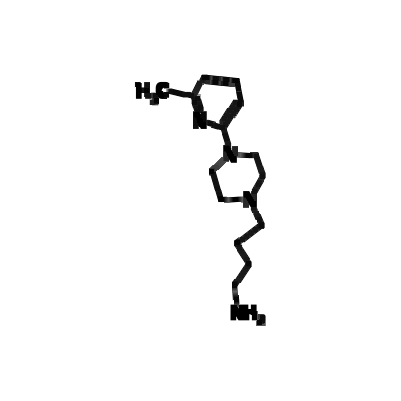 Cc1cccc(N2CCN(CCCCN)CC2)n1